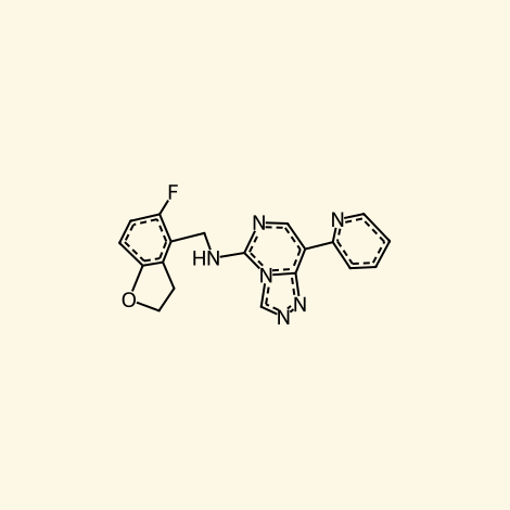 Fc1ccc2c(c1CNc1ncc(-c3ccccn3)c3nncn13)CCO2